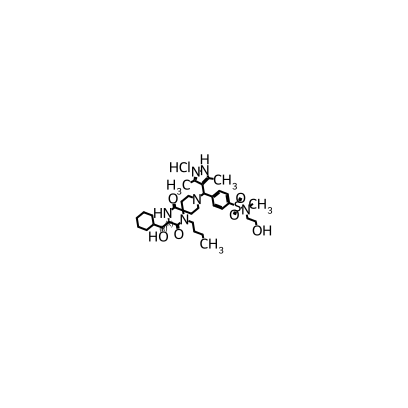 CCCCN1C(=O)[C@@H]([C@H](O)C2CCCCC2)NC(=O)C12CCN(C(c1ccc(S(=O)(=O)N(C)CCO)cc1)c1c(C)n[nH]c1C)CC2.Cl